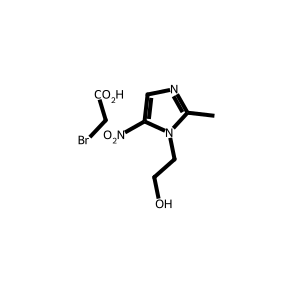 Cc1ncc([N+](=O)[O-])n1CCO.O=C(O)CBr